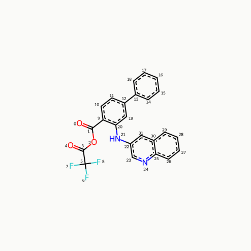 O=C(OC(=O)C(F)(F)F)c1ccc(-c2ccccc2)cc1Nc1cnc2ccccc2c1